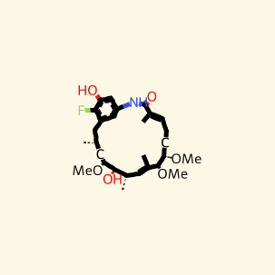 CO[C@H]1C[C@H](C)Cc2cc(cc(O)c2F)NC(=O)/C(C)=C/CC[C@H](OC)[C@@H](OC)/C(C)=C/[C@H](C)[C@H]1O